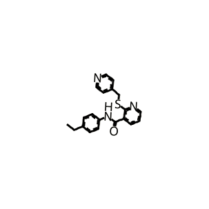 CCc1ccc(NC(=O)c2cccnc2SCc2ccncc2)cc1